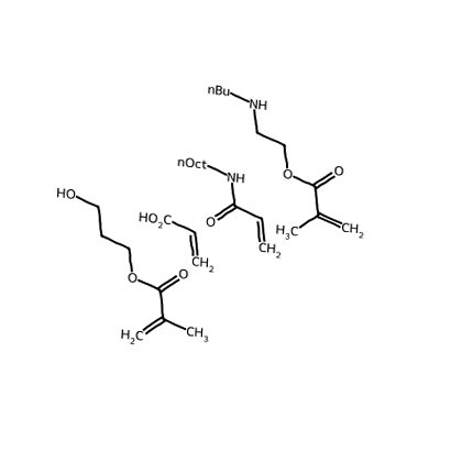 C=C(C)C(=O)OCCCO.C=C(C)C(=O)OCCNCCCC.C=CC(=O)NCCCCCCCC.C=CC(=O)O